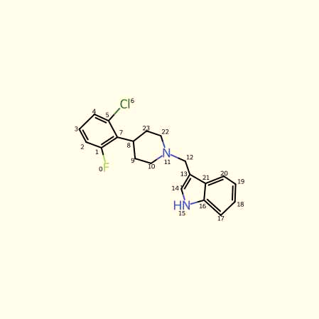 Fc1cccc(Cl)c1C1CCN(Cc2[c][nH]c3ccccc23)CC1